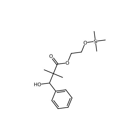 CC(C)(C(=O)OCCO[Si](C)(C)C)C(O)c1ccccc1